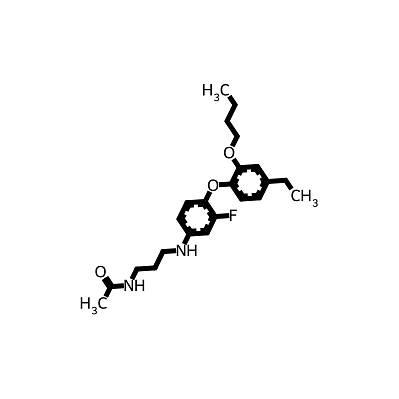 CCCCOc1cc(CC)ccc1Oc1ccc(NCCCNC(C)=O)cc1F